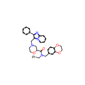 CC(C)CN(Cc1ccc2c(c1)OCCO2)C(=O)C1CN(Cc2c(-c3ccccc3)nc3ccccn23)CCO1